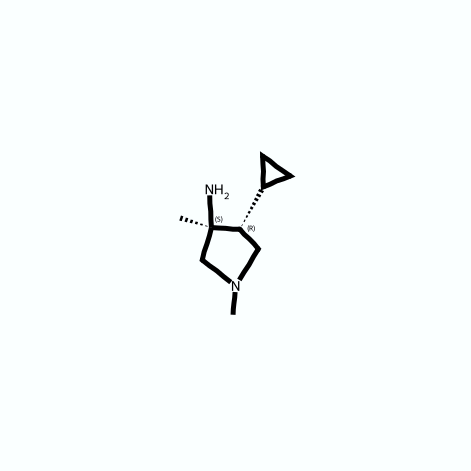 CN1C[C@@H](C2CC2)[C@](C)(N)C1